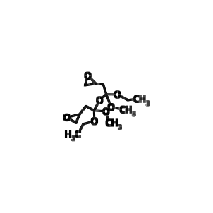 CCOC(CC1CO1)(OC)OC(CC1CO1)(OC)OCC